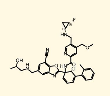 COCc1cc(C(=O)NC2(c3nc4cc(CNCC(C)O)cc(C#N)c4o3)C=CC=C(c3ccccc3C)C2Cl)ncc1CN[C@@H]1C[C@@H]1F